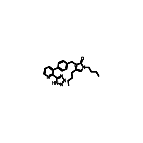 CCCCc1cn(CCCC)c(=O)n1Cc1ccc(-c2cccnc2-c2nnn[nH]2)cc1